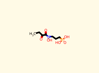 CCC(=O)C(=O)N(O)CCCP(=O)(O)O